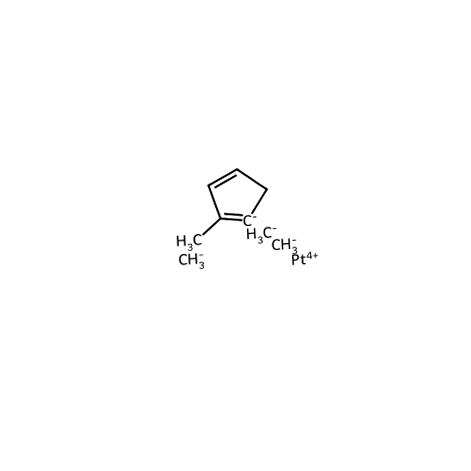 CC1=[C-]CC=C1.[CH3-].[CH3-].[CH3-].[Pt+4]